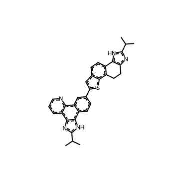 CC(C)c1nc2c([nH]1)-c1ccc3cc(-c4ccc5c(c4)c4ncccc4c4nc(C(C)C)[nH]c54)sc3c1CC2